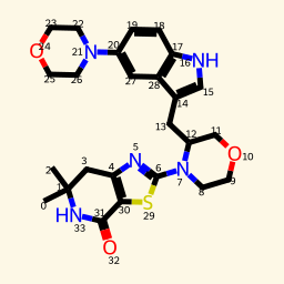 CC1(C)Cc2nc(N3CCOCC3Cc3c[nH]c4ccc(N5CCOCC5)cc34)sc2C(=O)N1